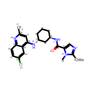 COc1ncc(C(=O)N[C@@H]2CCC[C@@H](Nc3cc(C(F)(F)F)nc4ccc(Cl)cc34)C2)n1C